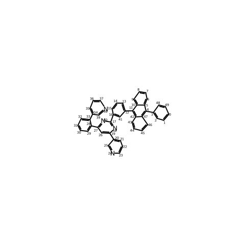 c1ccc(-c2c3ccccc3c(-c3cccc(-c4nc(-c5cccnc5)cc(-c5ccccc5-c5cccnc5)n4)c3)c3ccccc23)cc1